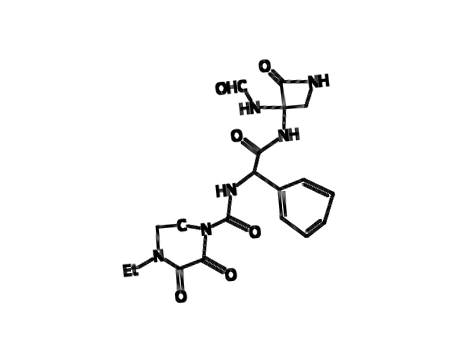 CCN1CCN(C(=O)NC(C(=O)NC2(NC=O)CNC2=O)c2ccccc2)C(=O)C1=O